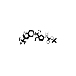 CC[C@]1(C(=O)N2CCc3ncc(C(F)(F)F)cc3C2)C=C[C@@H](NC(=O)OC(C)(C)C)C1